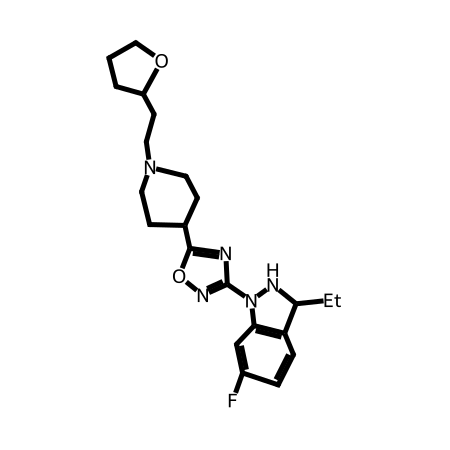 CCC1NN(c2noc(C3CCN(CCC4CCCO4)CC3)n2)c2cc(F)ccc21